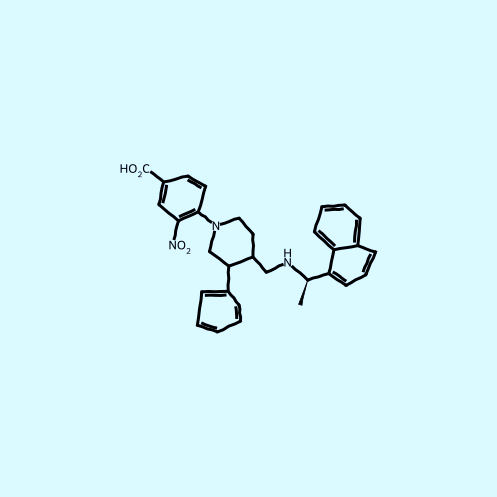 C[C@@H](NCC1CCN(c2ccc(C(=O)O)cc2[N+](=O)[O-])CC1c1ccccc1)c1cccc2ccccc12